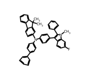 Cn1c(-c2ccccc2)c(-c2ccc(N(c3ccc(-c4ccccc4)cc3)c3ccc4c(c3)C(C)(C)c3ccccc3-4)cc2)c2ccc(F)cc21